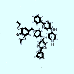 CCOc1cc(CN2CCC(Nc3cnc(-c4ccccc4)nc3)CC2)cc(OCC)c1Br.c1ccc(-c2ncc(NC3CCNCC3)cn2)cc1